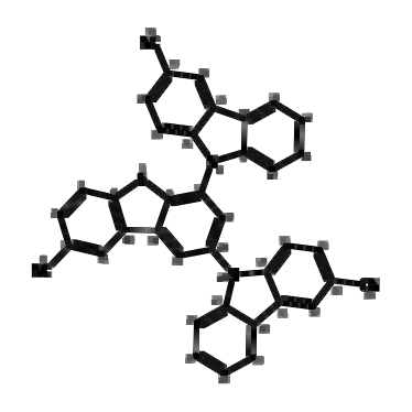 N#Cc1ccc2sc3c(-n4c5ccccc5c5cc(C#N)ccc54)cc(-n4c5ccccc5c5cc(C#N)ccc54)cc3c2c1